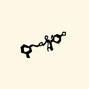 Cc1cccc(CCOCC(=O)Nc2ccc(Cl)cn2)c1